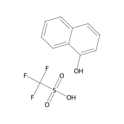 O=S(=O)(O)C(F)(F)F.Oc1cccc2ccccc12